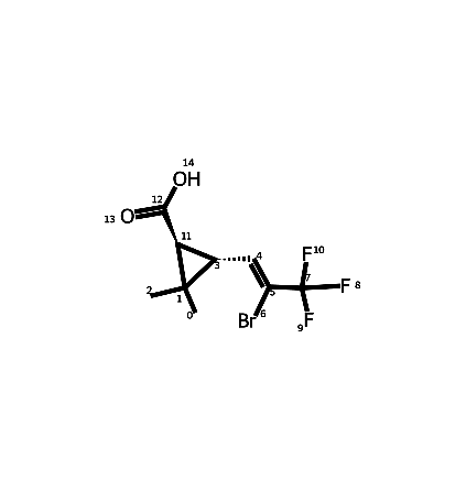 CC1(C)[C@@H](C=C(Br)C(F)(F)F)[C@@H]1C(=O)O